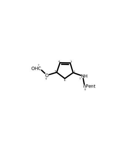 CCCCCNC1C=CC(OC=O)C1